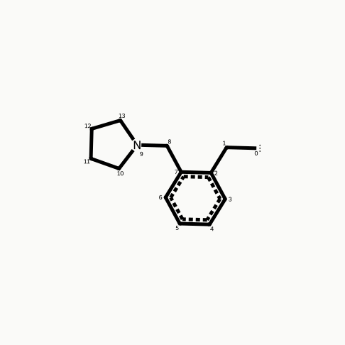 [C]Cc1ccccc1CN1CCCC1